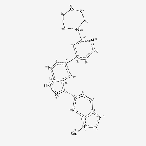 CC(C)(C)n1cnc2ccc(-c3n[nH]c4ncc(-c5ccnc(N6CCOCC6)c5)cc34)cc21